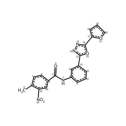 Cc1ccc(C(=O)Nc2cccc(-c3nnc(-c4ccco4)o3)c2)cc1[N+](=O)[O-]